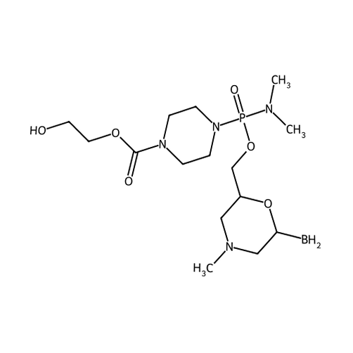 BC1CN(C)CC(COP(=O)(N(C)C)N2CCN(C(=O)OCCO)CC2)O1